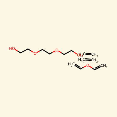 C=C.C=C.C=COC=C.OCCOCCOCCO